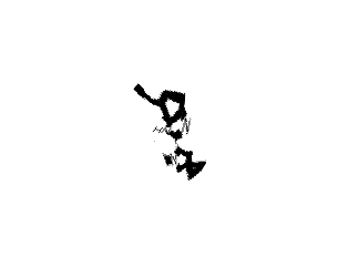 C#Cc1ccc2nc([C@@H]3CC4(CC4)CN3C)[nH]c2c1